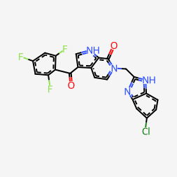 O=C(c1c(F)cc(F)cc1F)c1c[nH]c2c(=O)n(Cc3nc4cc(Cl)ccc4[nH]3)ccc12